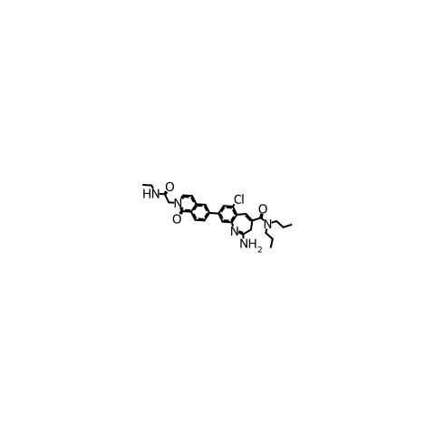 CCCN(CCC)C(=O)C1=Cc2c(Cl)cc(-c3ccc4c(=O)n(CC(=O)NCC)ccc4c3)cc2N=C(N)C1